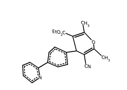 CCOC(=O)C1=C(C)OC(C)=C(C#N)C1c1ccc(-c2ccccn2)cc1